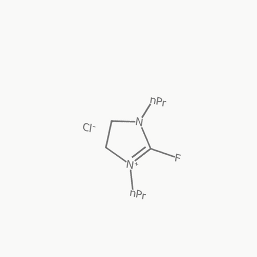 CCCN1CC[N+](CCC)=C1F.[Cl-]